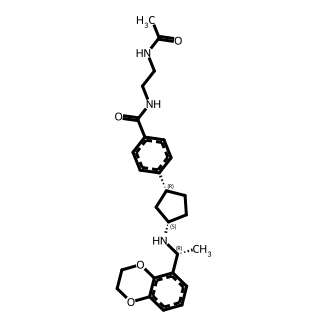 CC(=O)NCCNC(=O)c1ccc([C@@H]2CC[C@H](N[C@H](C)c3cccc4c3OCCO4)C2)cc1